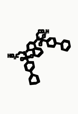 O=C(O)CN(c1ccc(N(CC(=O)O)S(=O)(=O)c2ccc(-c3ccccc3)cc2)c2ccccc12)S(=O)(=O)c1ccc(-c2ccccc2)cc1